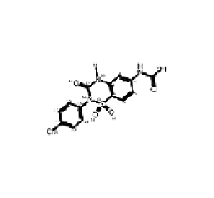 CCC(=O)Nc1ccc2c(c1)N(C)C(=O)N(c1ccc(Cl)cc1)S2(=O)=O